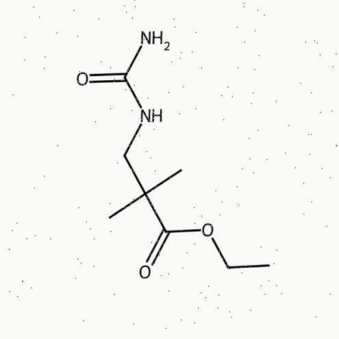 CCOC(=O)C(C)(C)CNC(N)=O